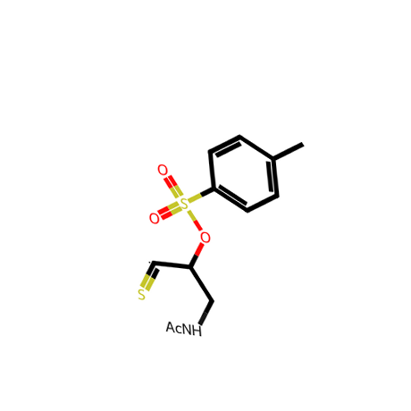 CC(=O)NCC([C]=S)OS(=O)(=O)c1ccc(C)cc1